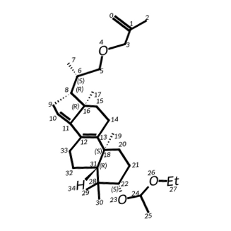 C=C(C)COC[C@@H](C)[C@H]1CC=C2C3=C(CC[C@@]21C)[C@@]1(C)CC[C@H](OC(C)OCC)C(C)(C)[C@@H]1CC3